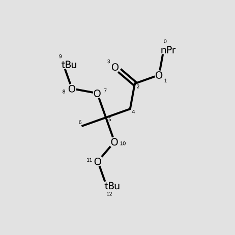 CCCOC(=O)CC(C)(OOC(C)(C)C)OOC(C)(C)C